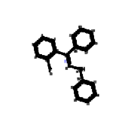 Fc1ccccc1/C(=N/Nc1ccccc1)c1ccccc1